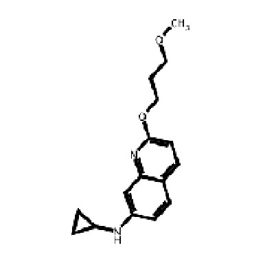 COCCCOc1ccc2ccc(NC3CC3)cc2n1